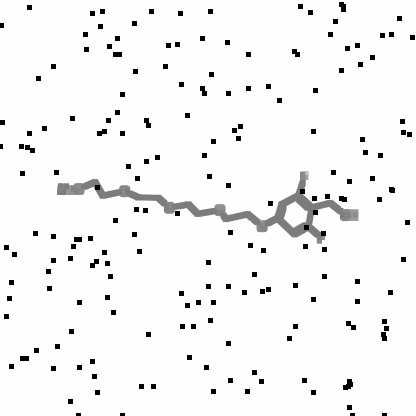 COCCOCCOCCOCCOc1cc(F)c(CO)c(F)c1